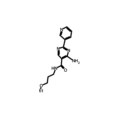 CCOCCCNC(=O)c1cnc(-c2cccnc2)nc1N